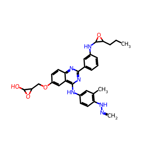 C=NNc1ccc(Nc2nc(-c3cccc(NC4OC4CCC)c3)nc3ccc(OCC4OC4O)cc23)cc1C